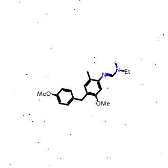 CCN(C)C=Nc1cc(OC)c(Cc2ccc(OC)cc2)cc1C